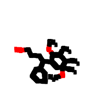 COC1=C(C)C(C)C(C)(OC)C=C1C(CCCO)c1ccccc1